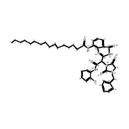 CCCCCCCCCCCCCCCC(=O)Nc1cccc2c(=O)[nH]c(C(C(=O)Nc3ccccc3Cl)N3C(=O)CN(Cc4ccccc4)C3=O)nc12